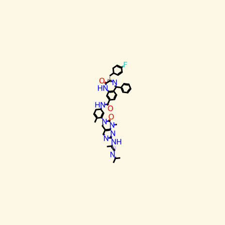 CC1=CCC(NC(=O)c2ccc3c(c2)NC(=O)[C@H](CC2C=CC(F)=CC2)N=C3c2ccccc2)C=C1N1Cc2cnc(N/C(C)=C/N=C(C)C)nc2N(C)C1=O